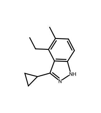 CCc1c(C)ccc2[nH]nc(C3CC3)c12